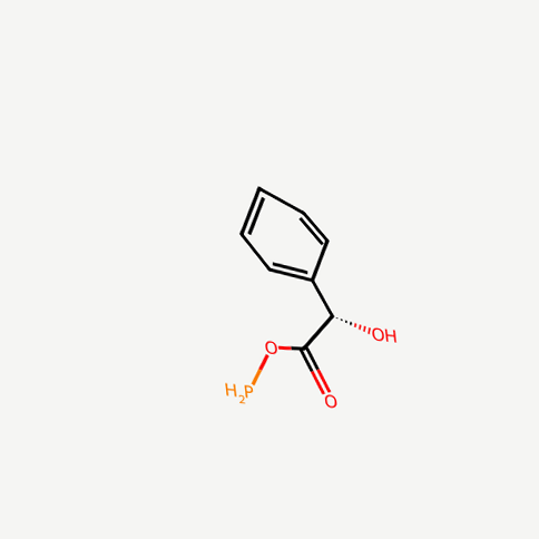 O=C(OP)[C@@H](O)c1ccccc1